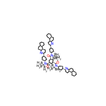 BC(B)(B)N(C(=O)c1cc(C(=O)N(c2ccc(-c3ccc4c(ccc5ccccc54)n3)cc2)C(B)(B)B)cc(C(=O)N(c2ccc(-c3ccc4c(ccc5ccccc54)n3)cc2)C(B)(B)B)c1)c1ccc(-c2ccc3c(ccc4ccccc43)n2)cc1